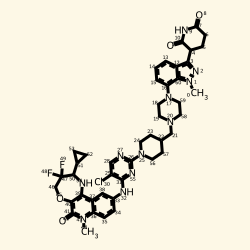 Cn1nc(C2CCC(=O)NC2=O)c2cccc(N3CCN(CC4CCN(c5ncc(Cl)c(Nc6ccc7c(c6)c6c(c(=O)n7C)OCC(F)(F)C(C7CC7)N6)n5)CC4)CC3)c21